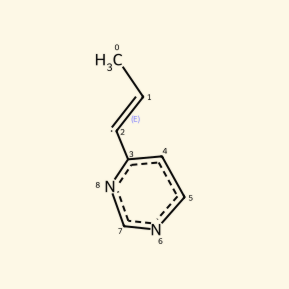 C/C=[C]/c1ccncn1